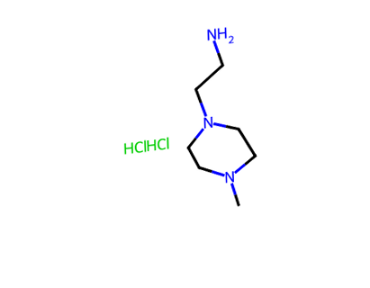 CN1CCN(CCN)CC1.Cl.Cl